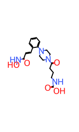 O=C(O)NCCCC(=O)N1CCN(c2ccccc2C=CC(=O)NO)CC1